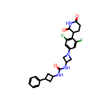 O=C1CCC(c2c(F)cc(N3CC(NC(=O)NC4CC(c5ccccc5)C4)C3)cc2F)C(=O)N1